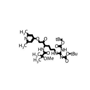 COC(C)(C)C(=O)NC(CCCNC(=NC(=O)OC(C)(C)C)NC(=O)OC(C)(C)C)C(=O)COc1cc(C)nc(C)c1